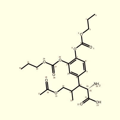 CCCOC(=O)Oc1ccc(C(C(C)COC(C)=O)[C@H](N)C(=O)O)cc1OC(=O)OCCC